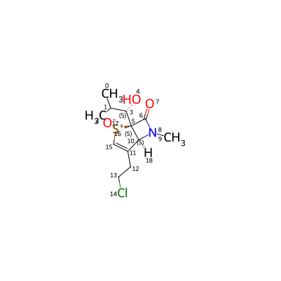 CC(C)[C@H](O)[C@]12C(=O)N(C)[C@H]1C(CCCl)=C[S+]2[O-]